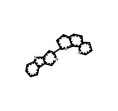 c1cnc2c(c1)ccc1ccc(-c3cc4sc5ccccc5c4cn3)nc12